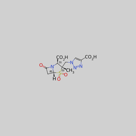 C[C@]1(Cn2cc(C(=O)O)nn2)[C@H](C(=O)O)N2C(=O)C[C@H]2S1(=O)=O